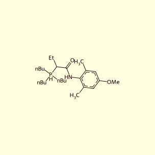 CCCC[PH](CCCC)(CCCC)C(CC)C(=O)Nc1c(C)cc(OC)cc1C